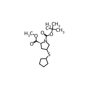 COC(=O)[C@@H]1CC(SC2CCCC2)CN1C(=O)OC(C)(C)C